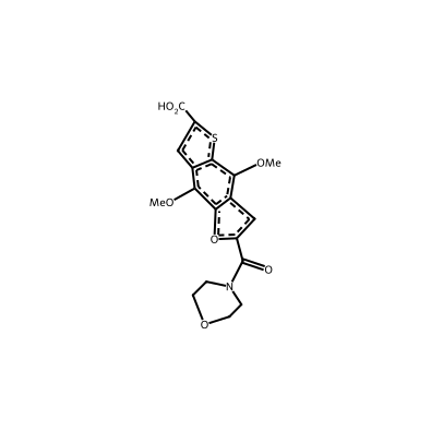 COc1c2cc(C(=O)O)sc2c(OC)c2cc(C(=O)N3CCOCC3)oc12